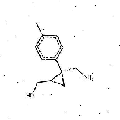 Cc1ccc([C@@]2(CN)CC2CO)cc1